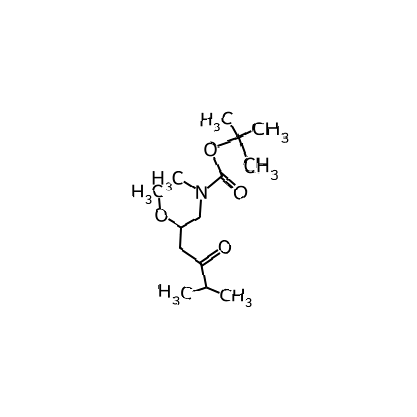 COC(CC(=O)C(C)C)CN(C)C(=O)OC(C)(C)C